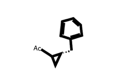 CC(=O)C1C[C@H]1Cc1ccccc1